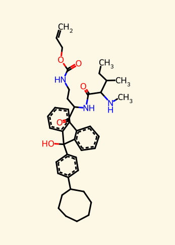 C=CCOC(=O)NCCC(NC(=O)C(NC)C(C)CC)C(=O)c1ccccc1C(O)(c1ccccc1)c1ccc(C2CCCCCCC2)cc1